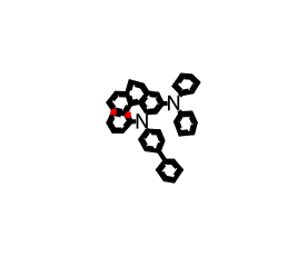 c1ccc(-c2ccc(N(c3ccccc3)c3cc(N(c4ccccc4)c4ccccc4)cc4ccc5ccccc5c34)cc2)cc1